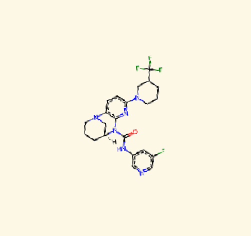 O=C(Nc1cncc(F)c1)N1c2nc(N3CCCC(C(F)(F)F)C3)ccc2N2CCC[C@H]1C2